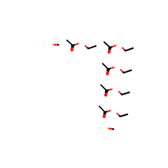 CCOC(C)=O.CCOC(C)=O.CCOC(C)=O.CCOC(C)=O.CCOC(C)=O.CO.CO